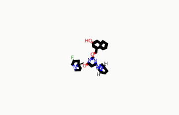 Oc1cc(COc2nc(OC[C@@]34CCCN3C[C@H](F)C4)cc(N3C[C@H]4CC[C@@H](C3)N4)n2)c2ccccc2c1